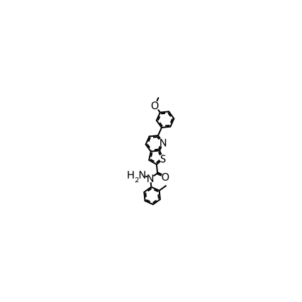 COc1cccc(-c2ccc3cc(C(=O)N(N)c4ccccc4C)sc3n2)c1